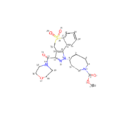 CC(C)(C)OC(=O)N1CCC[C@@H](n2nc(C(=O)N3CCOCC3)c3c2-c2ccccc2S(=O)(=O)C3)CC1